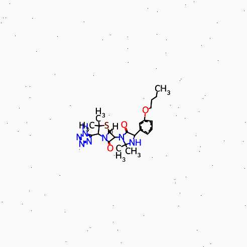 CCCCOc1cccc(C2NC(C)(C)N(C3C(=O)N4C(c5nnn[nH]5)C(C)(C)S[C@H]34)C2=O)c1